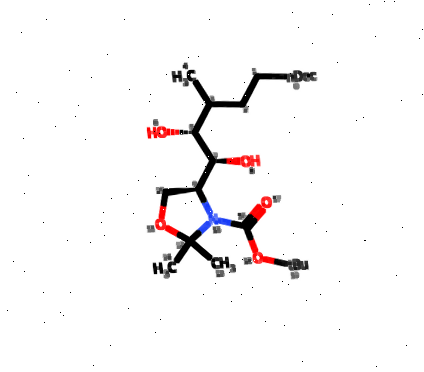 CCCCCCCCCCCCC(C)[C@@H](O)[C@@H](O)[C@@H]1COC(C)(C)N1C(=O)OC(C)(C)C